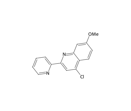 COc1ccc2c(Cl)cc(-c3ccccn3)nc2c1